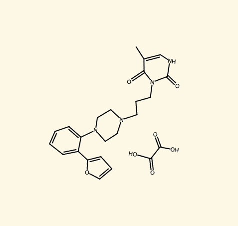 Cc1c[nH]c(=O)n(CCCN2CCN(c3ccccc3-c3ccco3)CC2)c1=O.O=C(O)C(=O)O